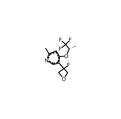 Cc1cc(O[C@@H](C)C(F)(F)F)c(C2(F)COC2)cn1